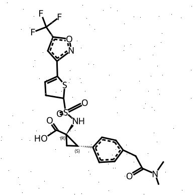 CN(C)C(=O)Cc1ccc([C@@H]2C[C@]2(NS(=O)(=O)C2CC=C(c3cc(C(F)(F)F)on3)S2)C(=O)O)cc1